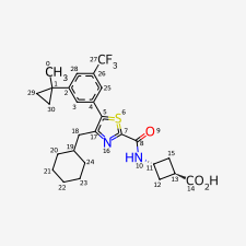 CC1(c2cc(-c3sc(C(=O)N[C@H]4C[C@H](C(=O)O)C4)nc3CC3CCCCC3)cc(C(F)(F)F)c2)CC1